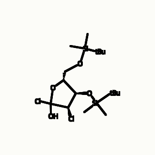 CC(C)(C)[Si](C)(C)OC[C@H]1OC(O)(Cl)[C@H](Cl)[C@@H]1O[Si](C)(C)C(C)(C)C